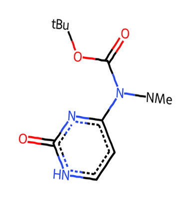 CNN(C(=O)OC(C)(C)C)c1cc[nH]c(=O)n1